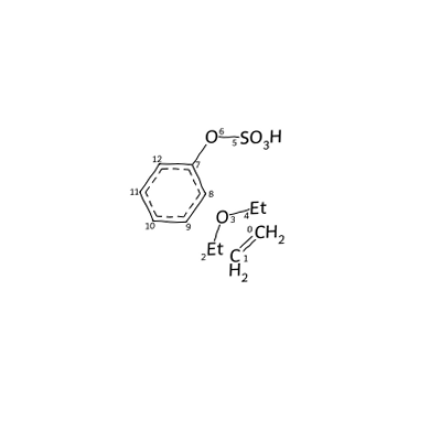 C=C.CCOCC.O=S(=O)(O)Oc1ccccc1